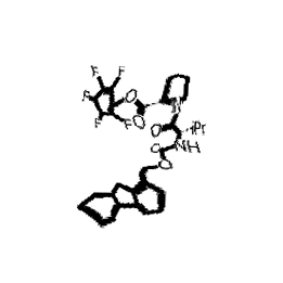 CC(C)[C@H](NC(=O)OCc1cccc2c1Cc1ccccc1-2)C(=O)N1CCC[C@H]1C(=O)Oc1c(F)c(F)c(F)c(F)c1F